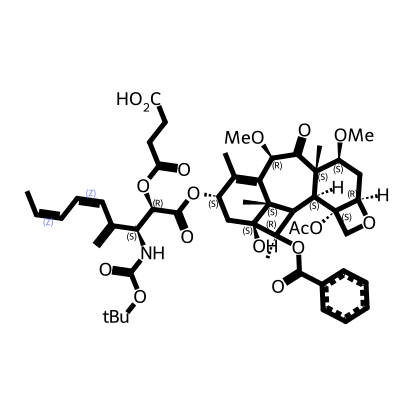 C=C(/C=C\C=C/C)[C@H](NC(=O)OC(C)(C)C)[C@@H](OC(=O)CCC(=O)O)C(=O)O[C@H]1C[C@@]2(O)[C@](C)(OC(=O)c3ccccc3)C3[C@@H]4[C@]5(OC(C)=O)CO[C@@H]5C[C@H](OC)[C@@]4(C)C(=O)[C@H](OC)C(=C1C)[C@]32C